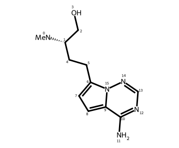 CN[C@H](CO)CCc1ccc2c(N)ncnn12